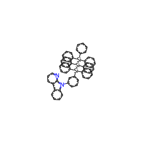 c1ccc([Si](c2ccccc2)(c2ccccc2)[Si](c2ccccc2)(c2ccccc2)[Si](c2ccccc2)(c2ccccc2)c2cccc(-n3c4ccccc4c4cccnc43)c2)cc1